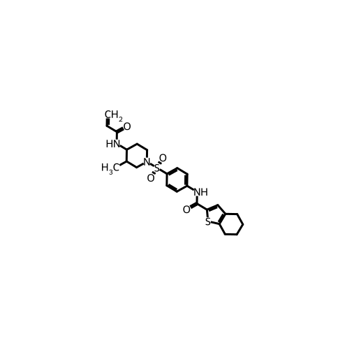 C=CC(=O)NC1CCN(S(=O)(=O)c2ccc(NC(=O)c3cc4c(s3)CCCC4)cc2)CC1C